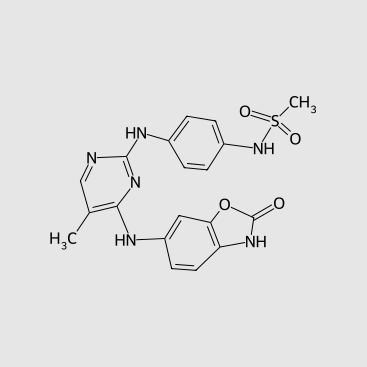 Cc1cnc(Nc2ccc(NS(C)(=O)=O)cc2)nc1Nc1ccc2[nH]c(=O)oc2c1